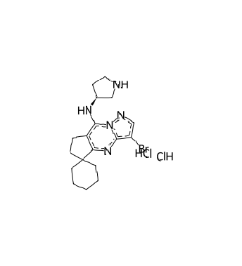 Brc1cnn2c(N[C@H]3CCNC3)c3c(nc12)C1(CCCCC1)CC3.Cl.Cl